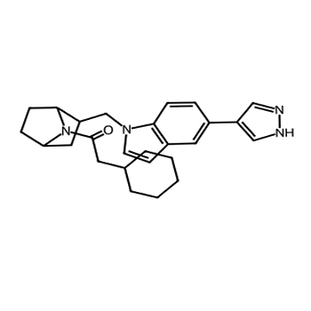 O=C(CC1CCCCC1)N1C2CCC1C(Cn1ccc3cc(-c4cn[nH]c4)ccc31)C2